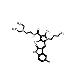 CCCCn1c(C)c(C(=O)NCCN(CC)CC)c(C)c1/C=C1\C(=O)Nc2ccc(F)cc21